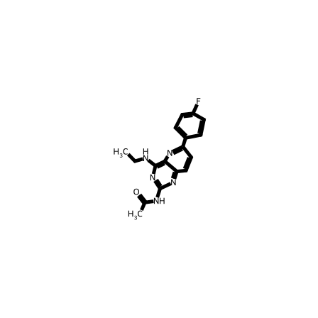 CCNc1nc(NC(C)=O)nc2ccc(-c3ccc(F)cc3)nc12